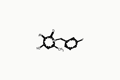 Cc1cc(O)c(Br)c(=O)n1Cc1cccc(F)c1